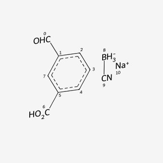 O=Cc1cccc(C(=O)O)c1.[BH3-]C#N.[Na+]